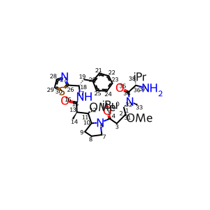 CC[C@H](C)[C@@H]([C@@H](CC(=O)N1CCCC1[C@H](OC)[C@@H](C)C(=O)N[C@@H](Cc1ccccc1)c1nccs1)OC)N(C)C(=O)[C@@H](N)C(C)C